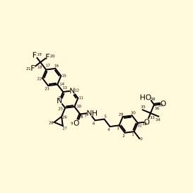 Cc1cc(CCCNC(=O)c2cnc(-c3ccc(C(F)(F)F)cc3)nc2C2CC2)ccc1OC(C)(C)C(=O)O